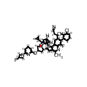 Cc1nc2c(F)c(-c3cccc(Cl)c3Cl)c(CCC#N)cc2c2c1cc([C@H]1C[C@H](Oc3cccc(N4CC(F)C4)n3)CN1C(=O)C1CC1)n2[C@H]1[C@H]2CN[C@@H]1C2